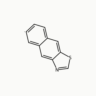 [c]1ccc2cc3scnc3cc2c1